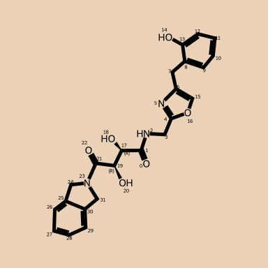 O=C(NCc1nc(Cc2ccccc2O)co1)[C@H](O)[C@@H](O)C(=O)N1Cc2ccccc2C1